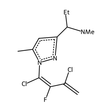 C=C(Cl)/C(F)=C(/Cl)n1nc(C(CC)NC)cc1C